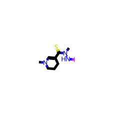 CN1C=C(C(=S)N(C)NI)CCC1